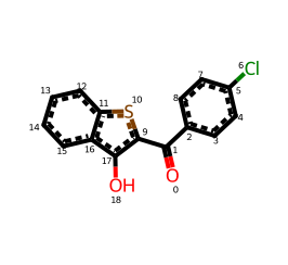 O=C(c1ccc(Cl)cc1)c1sc2ccccc2c1O